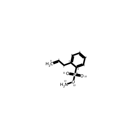 C=CCc1ccccc1S(=O)(=O)ON